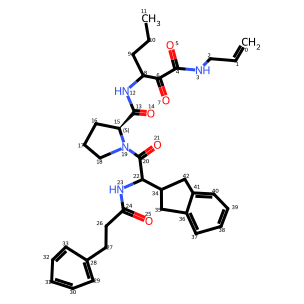 C=CCNC(=O)C(=O)C(CCC)NC(=O)[C@@H]1CCCN1C(=O)C(NC(=O)CCc1ccccc1)C1Cc2ccccc2C1